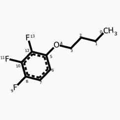 CCCCOc1ccc(F)c(F)c1F